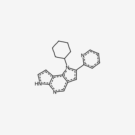 c1ccc(-c2cc3cnc4[nH]ccc4c3n2C2CCCCC2)nc1